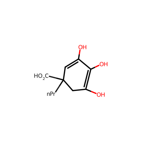 CCCC1(C(=O)O)C=C(O)C(O)=C(O)C1